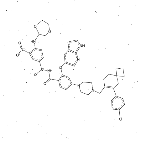 O=C(N[S+]([O-])c1ccc(NC2COCCO2)c([N+](=O)[O-])c1)c1ccc(N2CCN(CC3=C(c4ccc(Cl)cc4)CC4(CCC4)CC3)CC2)cc1Oc1cnc2[nH]ccc2c1